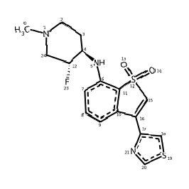 CN1CC[C@@H](Nc2cccc3c2S(=O)(=O)C=C3c2cscn2)[C@H](F)C1